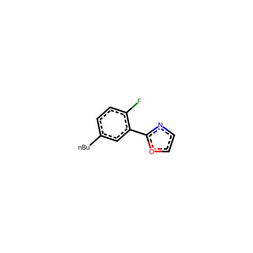 CCCCc1ccc(F)c(-c2ncco2)c1